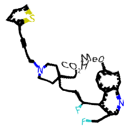 COc1ccc2ncc(CF)c([C@@H](F)CCC3(CC(=O)O)CCN(CC#Cc4cccs4)CC3)c2c1